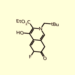 CCOC(=O)C1=C(O)C2=CC(F)C(=O)CC2=CN1CC(C)(C)C